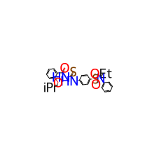 CCN(c1ccccc1)S(=O)(=O)c1ccc(NC(=S)NC(=O)c2ccccc2OC(C)C)cc1